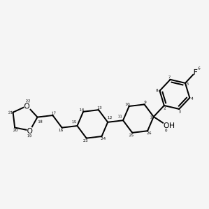 OC1(c2ccc(F)cc2)CCC(C2CCC(CCC3OCCO3)CC2)CC1